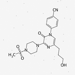 CS(=O)(=O)N1CCN(c2nc(CCCO)cn(-c3ccc(C#N)cc3)c2=O)CC1